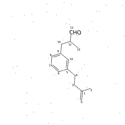 C=C(C)CCc1cccc(CC(C)C=O)c1